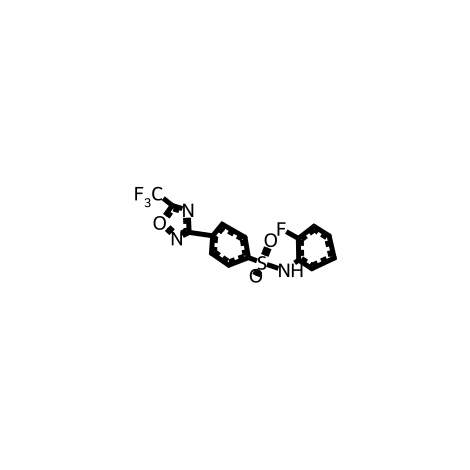 O=S(=O)(Nc1ccccc1F)c1ccc(-c2noc(C(F)(F)F)n2)cc1